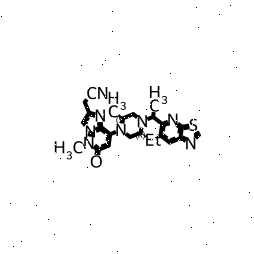 CC[C@@H]1CN(c2cc(=O)n(C)n3cc(CC#N)nc23)[C@@H](C)CN1C(C)c1ccc2ncsc2n1